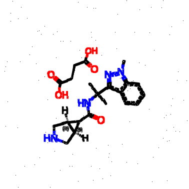 Cn1nc(C(C)(C)NC(=O)C2[C@H]3CNC[C@@H]23)c2ccccc21.O=C(O)CCC(=O)O